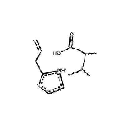 C=CCc1ncc[nH]1.CC(C(=O)O)N(C)C